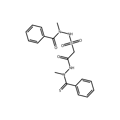 CN(NS(=O)(=O)CC(=O)NN(C)C(=S)c1ccccc1)C(=O)c1ccccc1